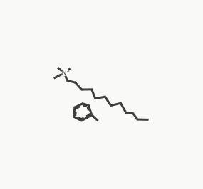 CCCCCCCCCCCC[N+](C)(C)C.Cc1ccccc1